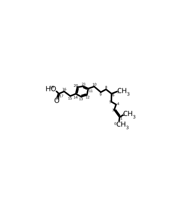 CC(C)=CCCC(C)CCCc1ccc(CCC(=O)O)cc1